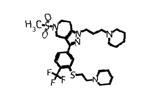 CS(=O)(=O)N1CCc2c(c(-c3ccc(C(F)(F)F)c(SCCN4CCCCC4)c3)nn2CCCN2CCCCC2)C1